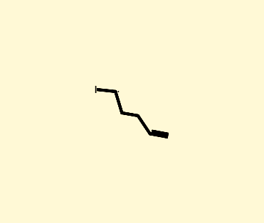 C=CCC[CH]I